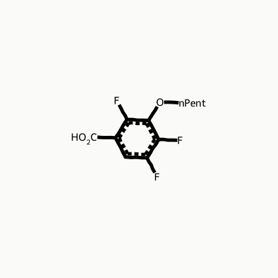 CCCCCOc1c(F)c(F)cc(C(=O)O)c1F